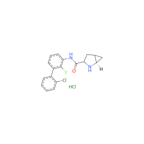 Cl.O=C(Nc1cccc(-c2ccccc2Cl)c1F)C1CC2C[C@H]2N1